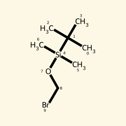 CC(C)(C)[Si](C)(C)OCBr